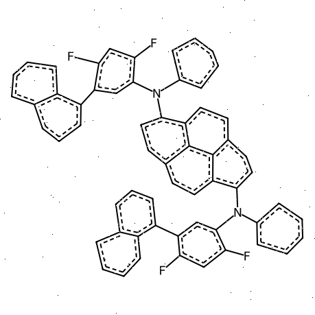 Fc1cc(F)c(N(c2ccccc2)c2ccc3ccc4c(N(c5ccccc5)c5cc(-c6cccc7ccccc67)c(F)cc5F)ccc5ccc2c3c54)cc1-c1cccc2ccccc12